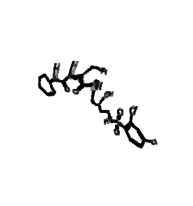 CC(C)C[C@H](NC(=O)NC1CCCCC1)C(=O)NC[C@@H](O)CCNS(=O)(=O)c1ccc(Cl)cc1Cl